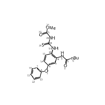 CCCCC(=O)Nc1cc(Oc2ccccc2)ccc1NC(=S)NC(=O)OC